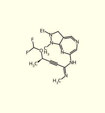 CCN1CC2=C=NC=C(N/C(C#C[C@@H](C)OC(F)F)=N/C)N=C2N1C